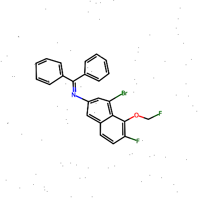 FCOc1c(F)ccc2cc(N=C(c3ccccc3)c3ccccc3)cc(Br)c12